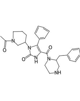 CC(=O)N1CCCC(n2c(-c3ccccc3)c(C(=O)N3CCNCC3Cc3ccccc3)[nH]c2=O)C1